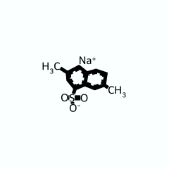 Cc1cc(S(=O)(=O)[O-])c2cc(C)ccc2c1.[Na+]